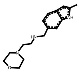 Cc1cc2ccc(CNCCN3CCOCC3)cc2[nH]1